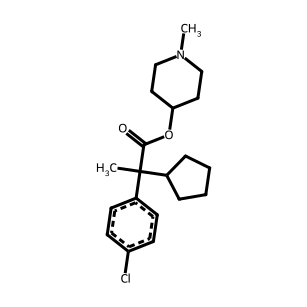 CN1CCC(OC(=O)C(C)(c2ccc(Cl)cc2)C2CCCC2)CC1